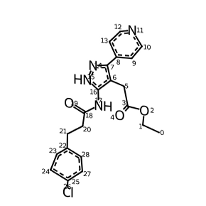 CCOC(=O)Cc1c(-c2ccncc2)n[nH]c1NC(=O)CCc1ccc(Cl)cc1